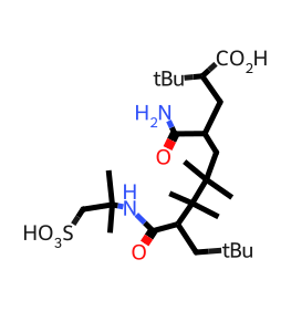 CC(C)(C)CC(C(=O)NC(C)(C)CS(=O)(=O)O)C(C)(C)C(C)(C)CC(CC(C(=O)O)C(C)(C)C)C(N)=O